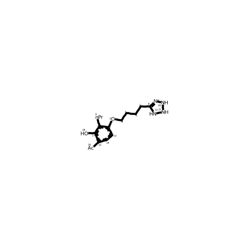 CCCc1c(OCCCCC2=NNNN2)ccc(C(C)=O)c1O